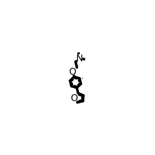 CN(C)CCOc1[c]cc(-c2ccco2)cc1